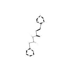 NC(Cc1ccccc1)C(O)C(=O)C=Cc1ccccc1